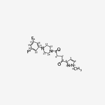 Cn1ccc(C(=O)CCC(=O)N2CCN(c3cc(F)cc(F)c3)CC2)n1